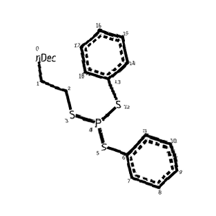 CCCCCCCCCCCCSP(Sc1ccccc1)Sc1ccccc1